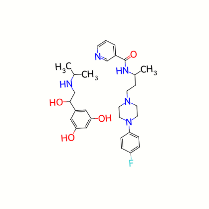 CC(C)NCC(O)c1cc(O)cc(O)c1.CC(CCN1CCN(c2ccc(F)cc2)CC1)NC(=O)c1cccnc1